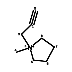 C#CC[N+]1(C)CCCC1